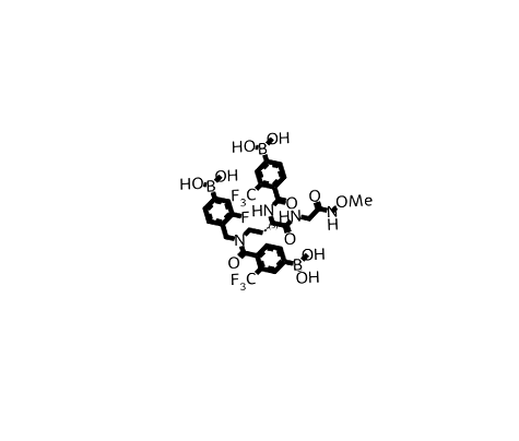 CONC(=O)CNC(=O)[C@H](CCN(Cc1ccc(B(O)O)cc1F)C(=O)c1ccc(B(O)O)cc1C(F)(F)F)NC(=O)c1ccc(B(O)O)cc1C(F)(F)F